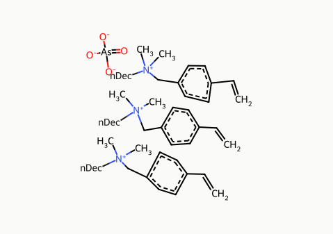 C=Cc1ccc(C[N+](C)(C)CCCCCCCCCC)cc1.C=Cc1ccc(C[N+](C)(C)CCCCCCCCCC)cc1.C=Cc1ccc(C[N+](C)(C)CCCCCCCCCC)cc1.O=[As]([O-])([O-])[O-]